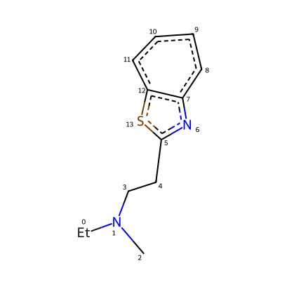 CCN(C)CCc1nc2ccccc2s1